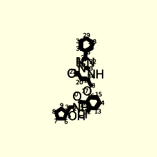 O=C(NCC1(O)CCCC1)c1c(Cl)cccc1OCc1cc(=O)n2nc(C3=CCCC=C3)nc2[nH]1